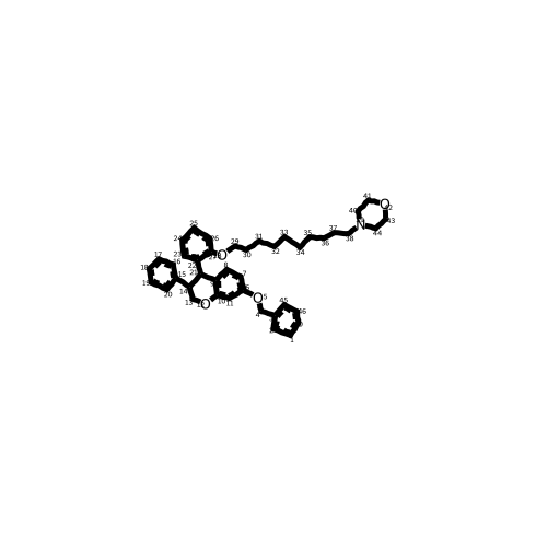 c1ccc(COc2ccc3c(c2)OCC(c2ccccc2)C3c2ccccc2OCCCCCCCCCCN2CCOCC2)cc1